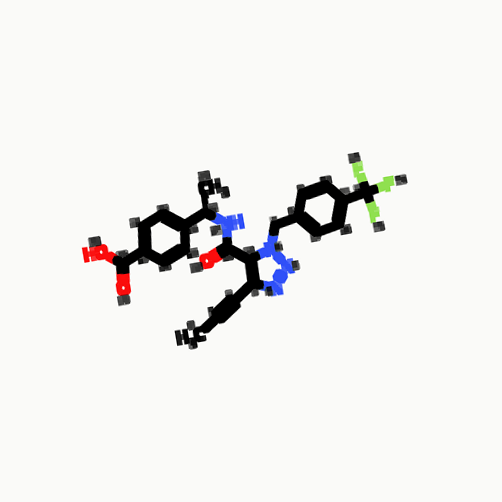 CC#Cc1nnn(Cc2ccc(C(F)(F)F)cc2)c1C(=O)N[C@@H](C)c1ccc(C(=O)O)cc1